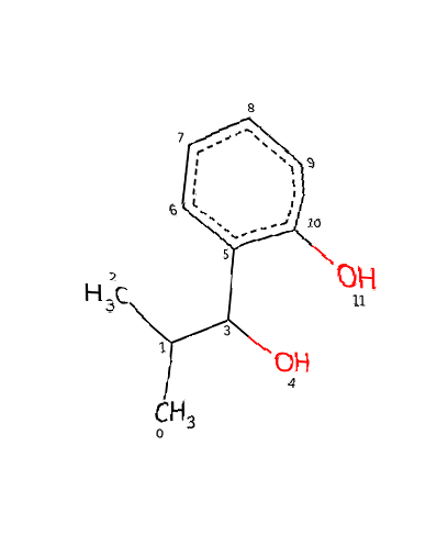 CC(C)C(O)c1ccccc1O